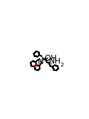 N[C@@H](Cc1ccccc1)C[C@H](O)[C@@H](Cc1ccccc1)N(Cc1ccccc1)Cc1ccccc1